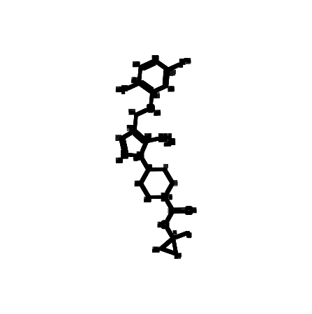 CC1(OC(=O)N2CCC(n3ncc(COc4cc(F)ccc4F)c3N)CC2)CC1